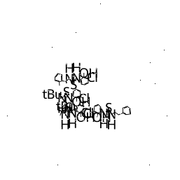 CC(C)(C)CC(C)(C)NC(=S)Nc1cccc(Cl)c1O.CC(C)(C)NC(=S)Nc1cccc(Cl)c1O.Cc1ccccc1CNC(=S)Nc1cccc(Cl)c1O.Oc1c(Cl)cccc1NC(=S)NCCc1ccccc1